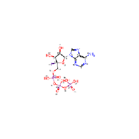 Nc1ncnc2c1ncn2[C@@H]1O[C@](I)(COP(=O)(O)OP(=O)(O)OP(=O)(O)O)[C@@H](O)[C@H]1O